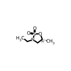 CCN1C[C@@H](C)OS1(=O)=O